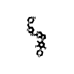 Cc1c(-n2ccc3cnc(Nc4ccc(CN5CCNCC5)nc4)nc32)cc(F)c(N2CCOCC2)c1F